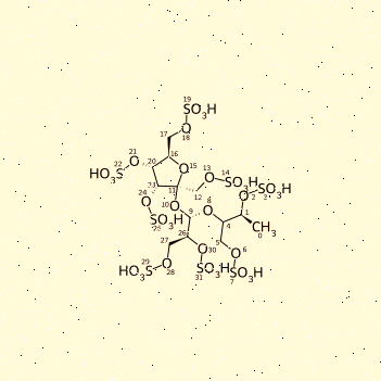 C[C@H](OS(=O)(=O)O)C(COS(=O)(=O)O)O[C@@H](O[C@]1(COS(=O)(=O)O)O[C@H](COS(=O)(=O)O)[C@@H](OS(=O)(=O)O)[C@H]1OS(=O)(=O)O)[C@H](COS(=O)(=O)O)OS(=O)(=O)O